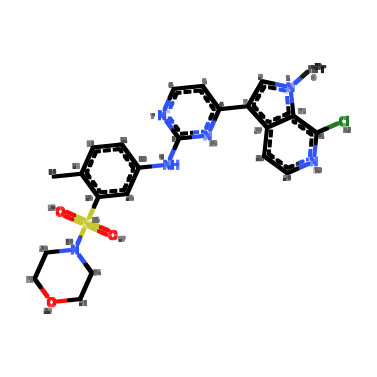 CCCn1cc(-c2ccnc(Nc3ccc(C)c(S(=O)(=O)N4CCOCC4)c3)n2)c2ccnc(Cl)c21